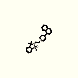 CC1(C)c2ccccc2S(=O)(=O)N1CCN1C=CC(c2cccc3ccccc23)CC1